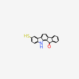 O=C1c2ccccc2-c2ccc3c([nH]c4ccc(S)cc43)c21